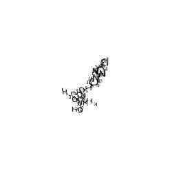 Cc1cc(OCCCC2CCN(c3ncc(Cl)cn3)CC2)nc(C)c1C(=O)NCCO